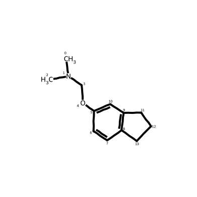 CN(C)COc1ccc2c(c1)CCC2